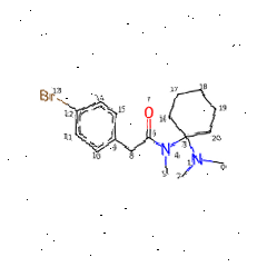 CN(C)C1(N(C)C(=O)Cc2ccc(Br)cc2)CCCCC1